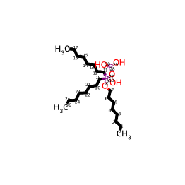 CCCCCCCCOP(O)(CCCCCCCC)(CCCCCCCC)OP(O)O